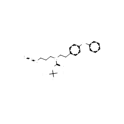 CC(C)(C)OC(=O)N(CCCN=[N+]=[N-])CCc1ccc(Oc2ccccc2)cc1